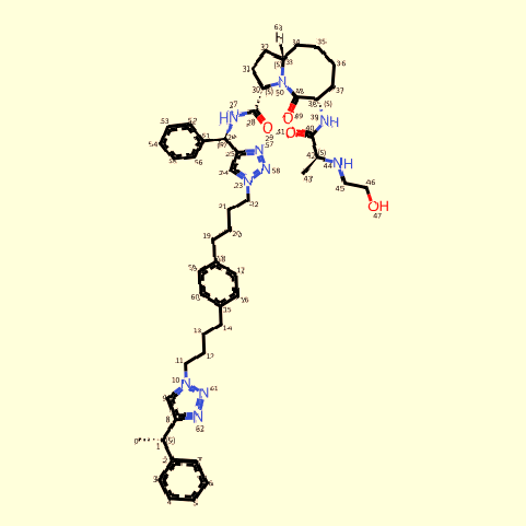 C[C@@H](c1ccccc1)c1cn(CCCCc2ccc(CCCCn3cc([C@H](NC(=O)[C@@H]4CC[C@@H]5CCCC[C@H](NC(=O)[C@H](C)NCCO)C(=O)N54)c4ccccc4)nn3)cc2)nn1